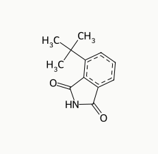 CC(C)(C)c1cccc2c1C(=O)NC2=O